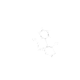 CCO[SiH3].Clc1ccccc1-c1ccccc1